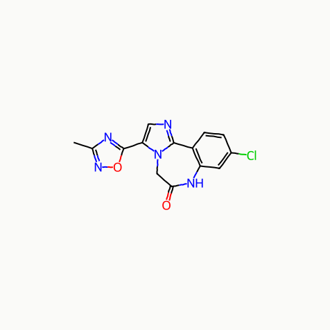 Cc1noc(-c2cnc3n2CC(=O)Nc2cc(Cl)ccc2-3)n1